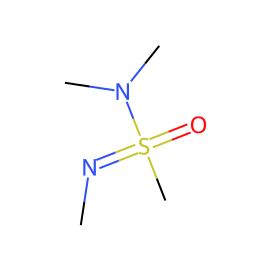 CN=S(C)(=O)N(C)C